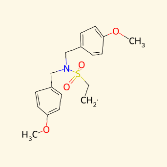 [CH2]CS(=O)(=O)N(Cc1ccc(OC)cc1)Cc1ccc(OC)cc1